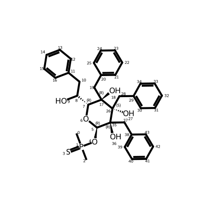 CP(C)(=S)O[C@H]1O[C@H](C(O)Cc2ccccc2)[C@](O)(Cc2ccccc2)[C@@](O)(Cc2ccccc2)[C@]1(O)Cc1ccccc1